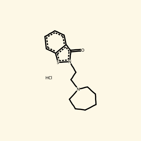 Cl.O=c1c2ccccc2sn1CCN1CCCCCC1